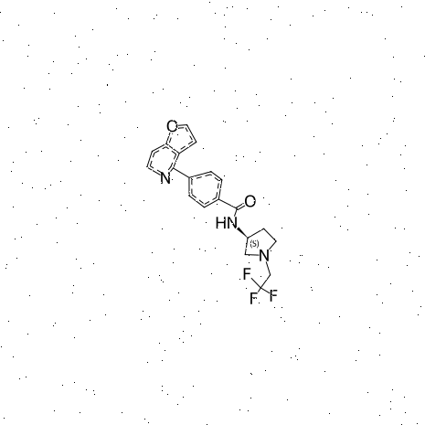 O=C(N[C@H]1CCN(CC(F)(F)F)C1)c1ccc(-c2nccc3occc23)cc1